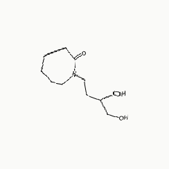 O=C1CCCCCN1CCC(O)CO